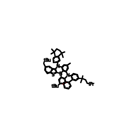 Cc1cc2c3c(c1)N(c1ccc4c(c1)C(C)(C)CCC4(C)C)c1c(sc4ccc(CC(C)(C)C)cc14)B3c1cc(C(C)(C)C)ccc1N2c1ccc(C(C)(C)CCC(C)C)cc1-c1ccccc1